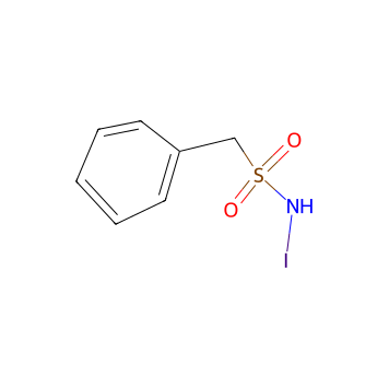 O=S(=O)(Cc1ccccc1)NI